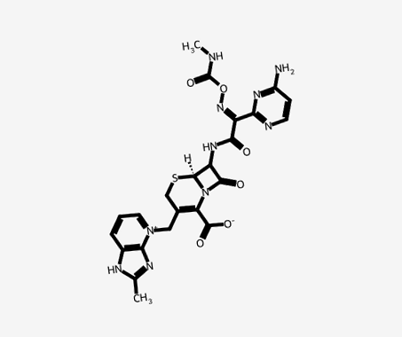 CNC(=O)ON=C(C(=O)NC1C(=O)N2C(C(=O)[O-])=C(C[n+]3cccc4[nH]c(C)nc43)CS[C@@H]12)c1nccc(N)n1